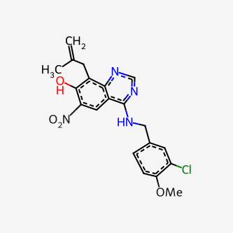 C=C(C)Cc1c(O)c([N+](=O)[O-])cc2c(NCc3ccc(OC)c(Cl)c3)ncnc12